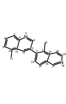 Cc1c(-c2cnc3cccc(C)c3c2)ccc2cnccc12